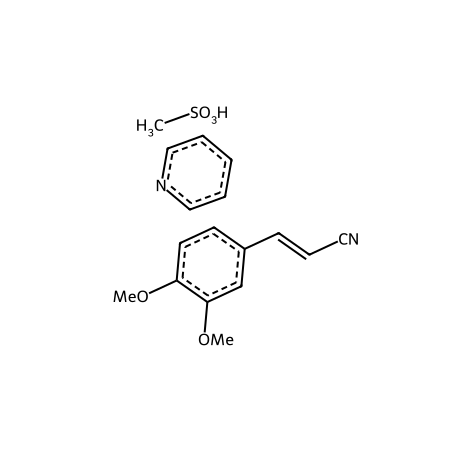 COc1ccc(C=CC#N)cc1OC.CS(=O)(=O)O.c1ccncc1